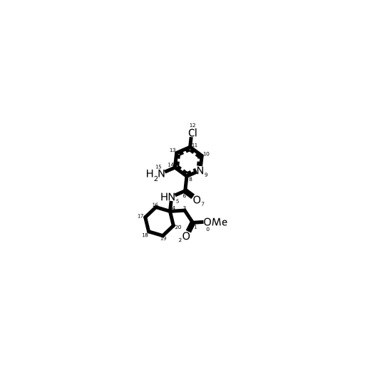 COC(=O)CC1(NC(=O)c2ncc(Cl)cc2N)CCCCC1